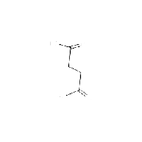 O=C(O)CCC(=O)[AsH2]